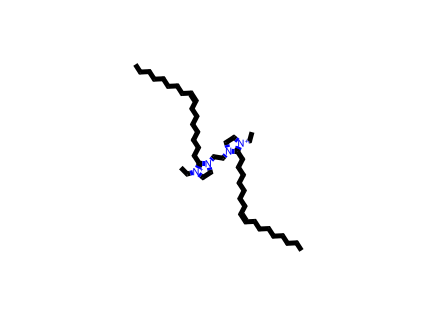 CCCCCCCC/C=C\CCCCCCCC1=[N+](CC)CCN1CCN1CC[N+](CC)=C1CCCCCCC/C=C\CCCCCCCC